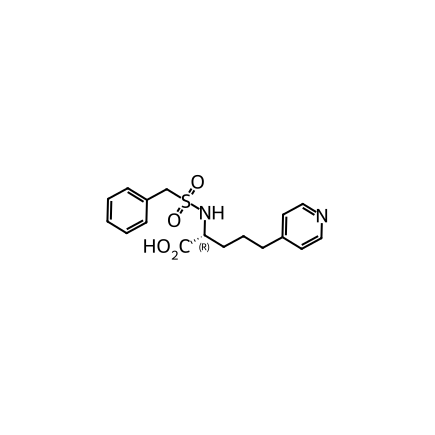 O=C(O)[C@@H](CCCc1ccncc1)NS(=O)(=O)Cc1ccccc1